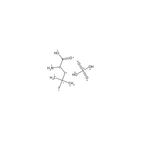 CC(C)(F)CC(N)C(=O)O.O=S(=O)(O)O